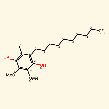 COc1c(O)c(C)c(CCCCCCCCCC(F)(F)F)c(O)c1OC